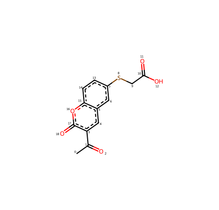 CC(=O)c1cc2cc(SCC(=O)O)ccc2oc1=O